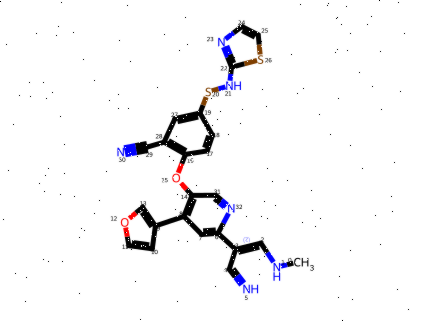 CN/C=C(\C=N)c1cc(-c2ccoc2)c(Oc2ccc(SNc3nccs3)cc2C#N)cn1